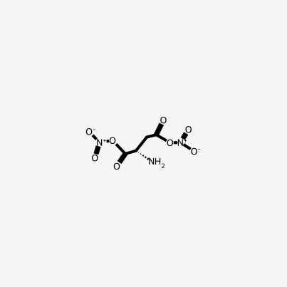 N[C@@H](CC(=O)O[N+](=O)[O-])C(=O)O[N+](=O)[O-]